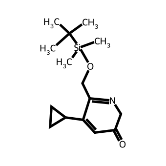 CC(C)(C)[Si](C)(C)OCC1=NCC(=O)C=C1C1CC1